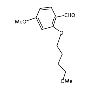 COCCCCOc1cc(OC)ccc1C=O